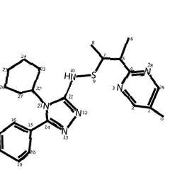 Cc1cnc(C(C)C(C)SNc2nnc(-c3ccccc3)n2C2CCCCC2)nc1